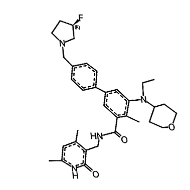 CCN(c1cc(-c2ccc(CN3CC[C@@H](F)C3)cc2)cc(C(=O)NCc2c(C)cc(C)[nH]c2=O)c1C)C1CCOCC1